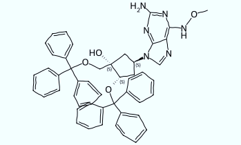 CONc1nc(N)nc2c1ncn2[C@H]1C[C@H](OC(c2ccccc2)(c2ccccc2)c2ccccc2)[C@@](O)(COC(c2ccccc2)(c2ccccc2)c2ccccc2)C1